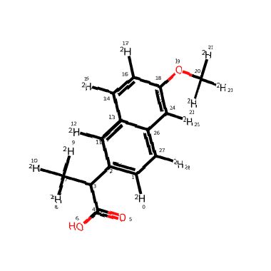 [2H]c1c(C(C(=O)O)C([2H])([2H])[2H])c([2H])c2c([2H])c([2H])c(OC([2H])([2H])[2H])c([2H])c2c1[2H]